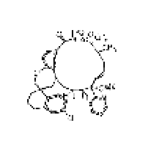 CO[C@]1(c2ccccn2)/C=C/C[C@H](C)[C@@H](C)S(=O)(=O)NC(=O)c2ccc3c(c2)N(C[C@@H]2CC[C@H]21)CC1(CCCc2cc(Cl)ccc21)CO3